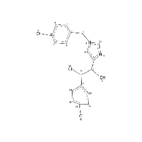 OC(c1cn(Cc2ccc(Cl)cc2)cn1)C(Cl)c1ccc(Cl)cc1